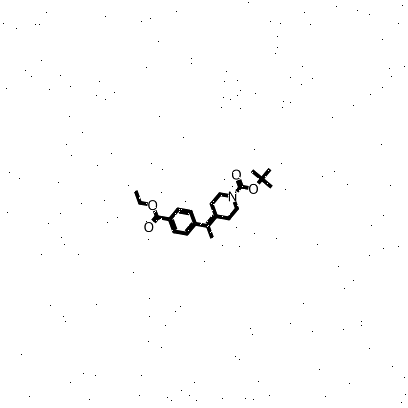 CCOC(=O)c1ccc(C(C)=C2CCN(C(=O)OC(C)(C)C)CC2)cc1